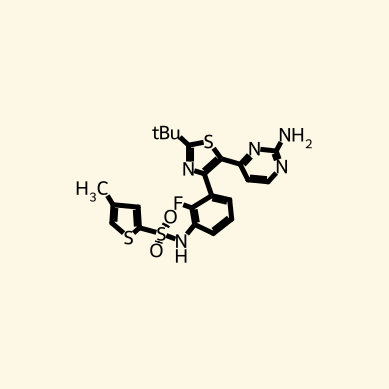 Cc1csc(S(=O)(=O)Nc2cccc(-c3nc(C(C)(C)C)sc3-c3ccnc(N)n3)c2F)c1